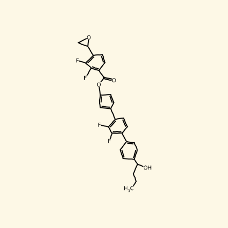 CCCC(O)c1ccc(-c2ccc(-c3ccc(OC(=O)c4ccc(C5CO5)c(F)c4F)cc3)c(F)c2F)cc1